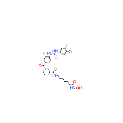 O=C(CCCCCCNC(=O)[C@H]1CCCN(C(=O)c2ccc(NC(=O)Nc3ccc(Cl)c(F)c3)c(F)c2)C1)NO